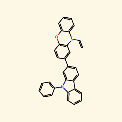 C=CN1c2ccccc2Oc2ccc(-c3ccc4c5ccccc5n(-c5ccccc5)c4c3)cc21